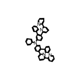 c1ccc(-c2cc(N(c3ccccc3)c3ccc(-c4cccc(-c5ccccn5)n4)c(-c4ccccc4)c3)ccc2-c2cccc(-c3ccccn3)n2)cc1